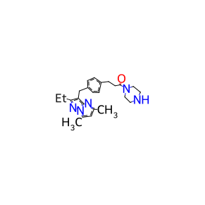 CCc1nn2c(C)cc(C)nc2c1Cc1ccc(CCC(=O)N2CCNCC2)cc1